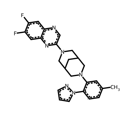 Cc1c[c]c(-n2cccn2)c(N2CC3CC(CN(c4cnc5cc(F)c(F)cc5n4)C3)C2)c1